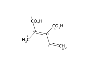 C=C/C(C(=O)O)=C(\C)C(=O)O